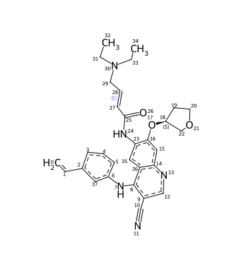 C=Cc1cccc(Nc2c(C#N)cnc3cc(O[C@H]4CCOC4)c(NC(=O)/C=C/CN(CC)CC)cc23)c1